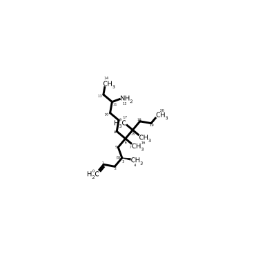 C=CC[C@H](C)CC(C)(CCCC(N)CC)C(C)(C)CCC